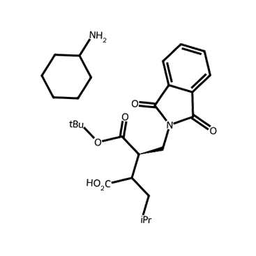 CC(C)CC(C(=O)O)[C@H](CN1C(=O)c2ccccc2C1=O)C(=O)OC(C)(C)C.NC1CCCCC1